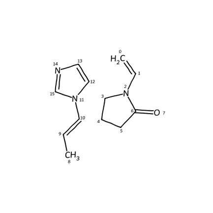 C=CN1CCCC1=O.CC=Cn1ccnc1